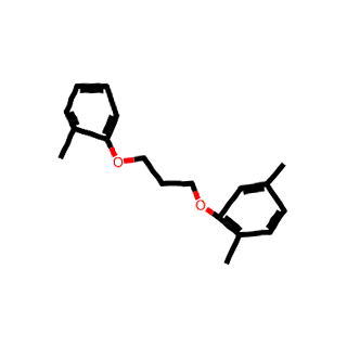 Cc1ccc(C)c(OCCCOc2ccccc2C)c1